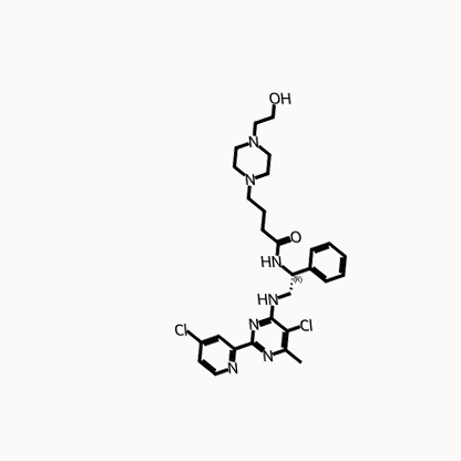 Cc1nc(-c2cc(Cl)ccn2)nc(NC[C@H](NC(=O)CCCN2CCN(CCO)CC2)c2ccccc2)c1Cl